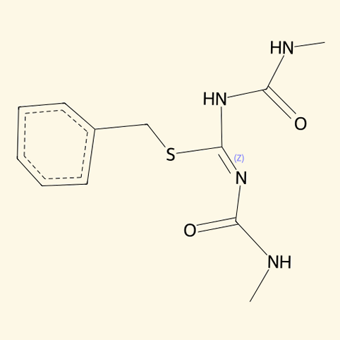 CNC(=O)/N=C(/NC(=O)NC)SCc1ccccc1